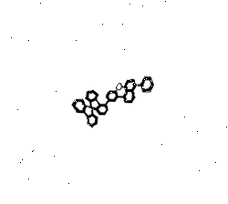 c1ccc(-c2ccc3c4c(cccc24)-c2cc(-c4cccc5c4-c4ccccc4C54c5ccccc5-c5ccccc54)ccc2O3)cc1